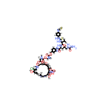 COc1cc2cc(c1Cl)N(C)C(=O)C[C@H](OC(=O)[C@H](C)N(C)C(=O)OCN(C)C(=O)OCc1ccc(NC(=O)[C@H](CCCNC(N)=O)NC(=O)[C@@H](NC(=S)Nc3ccc(N=C=S)cc3)C(C)C)cc1)[C@]1(C)O[C@H]1[C@H](C)[C@@H]1C[C@@](O)(NC(=O)O1)[C@H](OC)/C=C/C=C(\C)C2